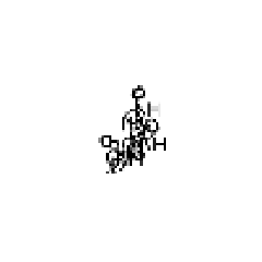 CCCC(NC(=O)[C@@H]1CCCN1C(=O)C(NC(=O)OC(C)(C)C)C1Cc2ccccc2C1)C(=O)C(=O)NCC(=O)NCc1ccccc1